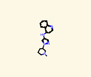 CN1CCCC(n2cc(Nc3ccnc4ccccc34)cn2)C1